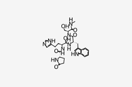 CNC(=O)[C@H](CO)NC(=O)[C@H](Cc1c[nH]c2ccccc12)NC(=O)[C@H](CCc1cnc[nH]1)NC(=O)[C@@H]1CCC(=O)N1